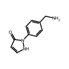 NCc1ccc(-n2[nH]ccc2=O)cc1